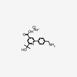 CC(C)(O)c1cc(C(=O)O)cc(-c2ccc(CN)cc2)n1.[Cl-].[Na+]